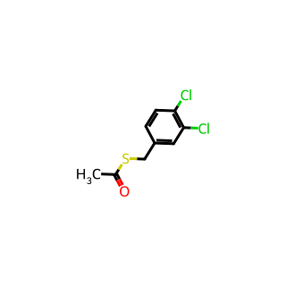 CC(=O)SCc1ccc(Cl)c(Cl)c1